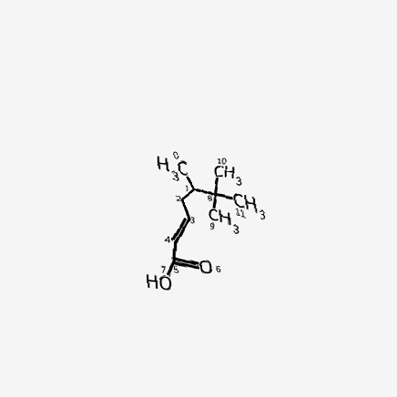 CC(CC=CC(=O)O)C(C)(C)C